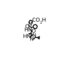 O=C(NC(C(=O)N1CCC(C(=O)O)C1)C1CCCCC1)c1c[nH]c2ncc(C3CC3)nc12